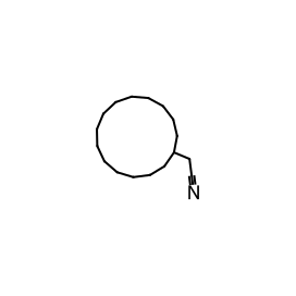 N#CCC1CCCCCCCCCCCCCC1